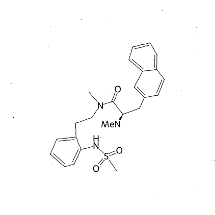 CN[C@H](Cc1ccc2ccccc2c1)C(=O)N(C)CCc1ccccc1NS(C)(=O)=O